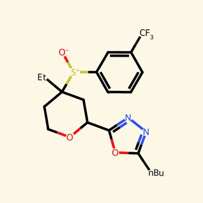 CCCCc1nnc(C2CC(CC)([S+]([O-])c3cccc(C(F)(F)F)c3)CCO2)o1